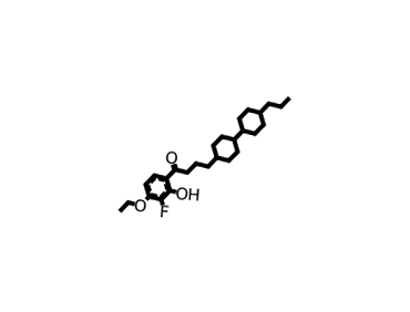 CCCC1CCC(C2CCC(CCCC(=O)c3ccc(OCC)c(F)c3O)CC2)CC1